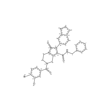 O=C(NCc1ccccc1)c1c2n(c(=O)n1-c1ccc3ocnc3c1)CCN(C(=O)c1ccc(Br)c(Cl)c1)C2